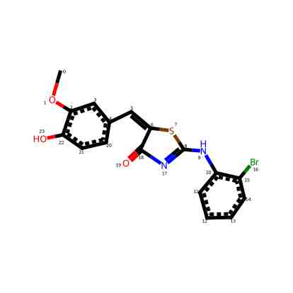 COc1cc(C=C2SC(Nc3ccccc3Br)=NC2=O)ccc1O